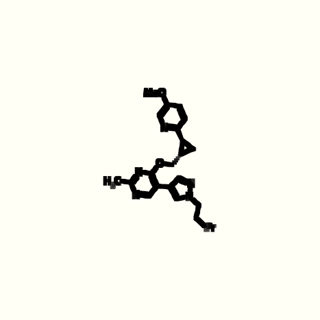 COc1ccc([C@H]2C[C@@H]2COc2nc(C)ncc2-c2cnn(CCC(C)C)c2)nc1